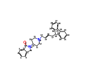 O=C1c2ccccc2CN1C1CCN(CC=CCC2c3ccccc3-c3ccccc32)CC1